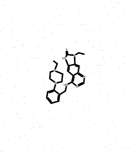 CCN1CCN(c2ccccc2CNc2ncnc3cc4c(cc23)[nH]c(=S)n4CC)CC1